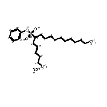 CCCCCCCCCCCC(CCCCCC)S(=O)(=O)Oc1ccccc1.[NaH]